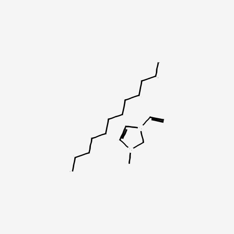 C=CN1C=CN(C)C1.CCCCCCCCCCCC